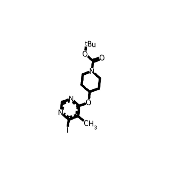 Cc1c(I)ncnc1OC1CCN(C(=O)OC(C)(C)C)CC1